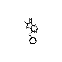 Cc1nc2c(Oc3ccccc3)ncnc2[nH]1